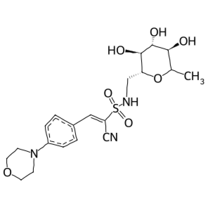 CC1O[C@H](CNS(=O)(=O)/C(C#N)=C/c2ccc(N3CCOCC3)cc2)[C@@H](O)[C@H](O)[C@H]1O